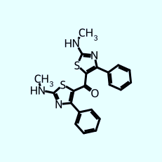 CNc1nc(-c2ccccc2)c(C(=O)c2sc(NC)nc2-c2ccccc2)s1